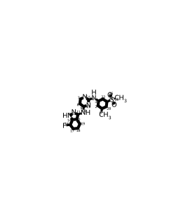 Cc1cc(Nc2nccc(Nc3n[nH]c4c(F)cccc34)n2)cc(S(C)(=O)=O)c1